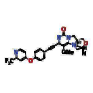 COc1c(C#Cc2ccc(Oc3ccnc(C(F)(F)F)c3)cc2)nc(=O)n2c1N1C[C@@H]3C[C@]1(CO3)C2